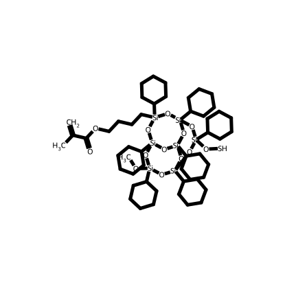 C=C(C)C(=O)OCCCC[Si]1(C2CCCCC2)O[Si]2(C3CCCCC3)O[Si](OC)(C3CCCCC3)O[Si]3(C4CCCCC4)O[Si](OS)(C4CCCCC4)O[Si](C4CCCCC4)(O1)O[Si](C1CCCCC1)(O2)O3